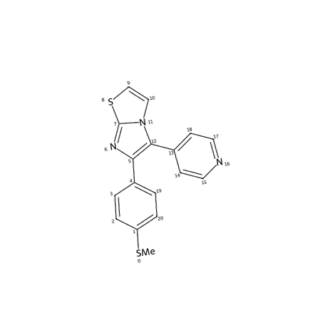 CSc1ccc(-c2nc3sccn3c2-c2ccncc2)cc1